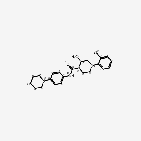 C[C@H]1CN(c2ncccc2Cl)CCN1C(=O)Nc1ccc(N2CCCCC2)cc1